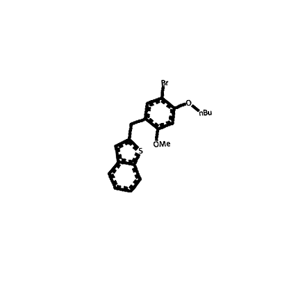 CCCCOc1cc(OC)c(Cc2cc3ccccc3s2)cc1Br